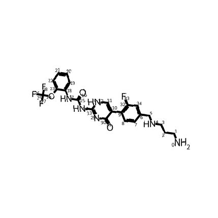 NCCCNCc1ccc(-c2c[nH]c(NC(=O)Nc3ccccc3OC(F)(F)F)nc2=O)c(F)c1